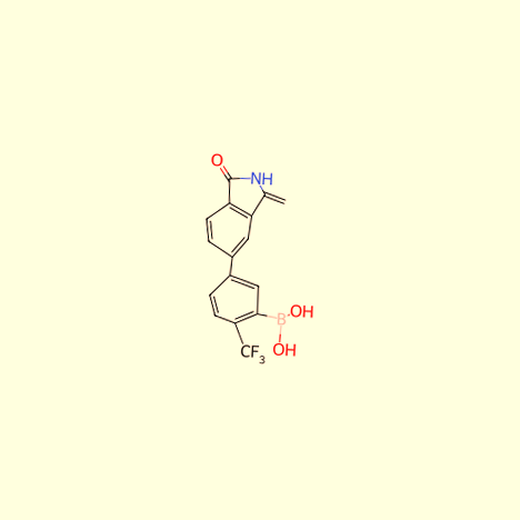 C=C1NC(=O)c2ccc(-c3ccc(C(F)(F)F)c(B(O)O)c3)cc21